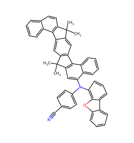 CC1(C)c2cc3c(cc2-c2c1ccc1ccccc21)C(C)(C)c1cc(N(c2ccc(C#N)cc2)c2cccc4c2oc2ccccc24)c2ccccc2c1-3